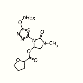 CCCCCCOc1nnc(N2C(=O)N(C)CC2OC(=O)C2CCCO2)s1